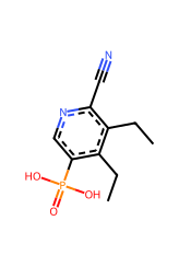 CCc1c(P(=O)(O)O)cnc(C#N)c1CC